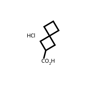 Cl.O=C(O)C1CC2(CCC2)C1